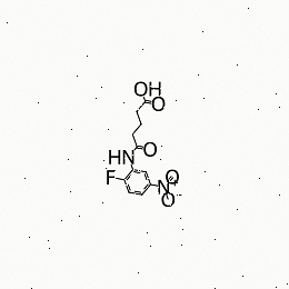 O=C(O)CCCC(=O)Nc1cc([N+](=O)[O-])ccc1F